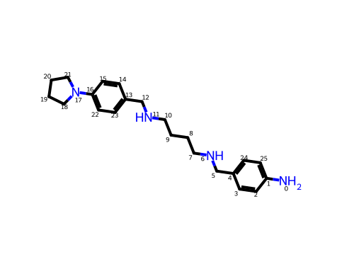 Nc1ccc(CNCCCCNCc2ccc(N3CCCC3)cc2)cc1